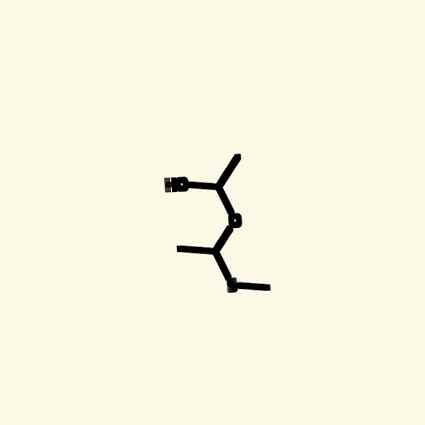 CSC(C)OC(C)O